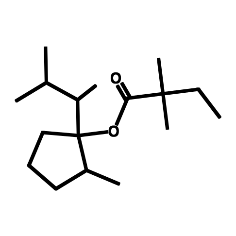 CCC(C)(C)C(=O)OC1(C(C)C(C)C)CCCC1C